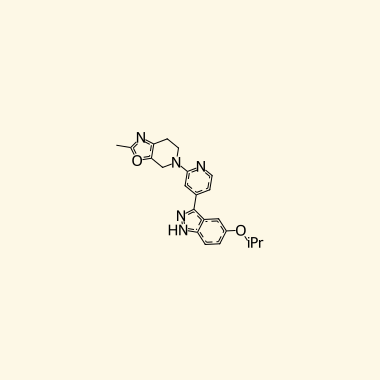 Cc1nc2c(o1)CN(c1cc(-c3n[nH]c4ccc(OC(C)C)cc34)ccn1)CC2